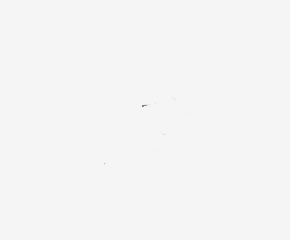 [2H]C1([2H])CCC(C(=O)N2CC(=O)N3CCc4ccccc4[C@H]3C2)CC1